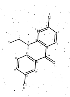 CCNc1nc(Cl)ccc1C(=O)c1cccc(Cl)c1